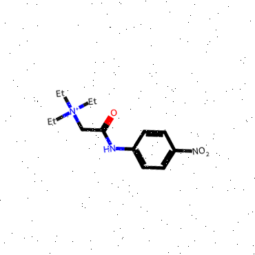 CC[N+](CC)(CC)CC(=O)Nc1ccc([N+](=O)[O-])cc1